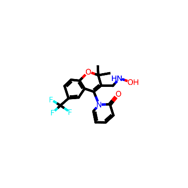 CC1(C)Oc2ccc(C(F)(F)F)cc2C(n2ccccc2=O)=C1CNO